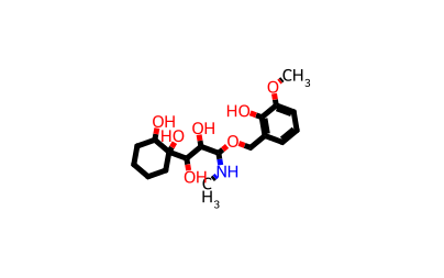 CNC(OCc1cccc(OC)c1O)C(O)C(O)C1(O)CCCCC1O